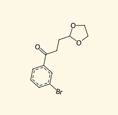 O=C(CCC1OCCO1)c1cccc(Br)c1